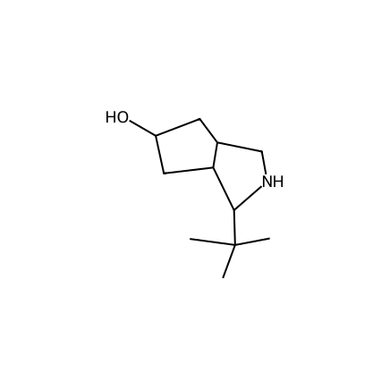 CC(C)(C)C1NCC2CC(O)CC21